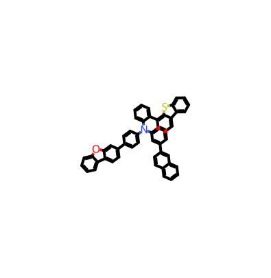 c1cc(-c2ccc3ccccc3c2)cc(N(c2ccc(-c3ccc4c(c3)oc3ccccc34)cc2)c2ccccc2-c2cccc3c2sc2ccccc23)c1